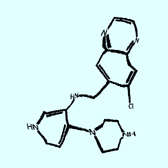 Clc1cc2nccnc2cc1CNC1=CNCC=C1N1CCNCC1